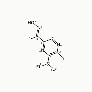 CC[S+]([O-])c1nc(/C(C)=N/O)cnc1C